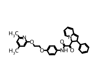 Cc1cc(C)nc(OCCOc2ccc(NC(=O)C(=O)C3C(c4ccccc4)C=C4C=CC=CN43)cc2)c1